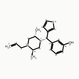 C=CCN1C[C@H](C)N([C@H](c2ccsc2)c2cccc(O)c2)C[C@H]1C